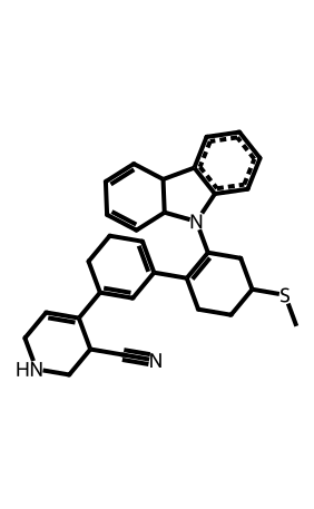 CSC1CCC(C2=CCCC(C3=CCNCC3C#N)=C2)=C(N2c3ccccc3C3C=CC=CC32)C1